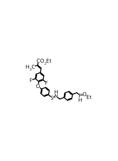 CCOPCc1ccc(CNSc2ccc(Oc3c(F)cc(/C=C(\C)C(=O)OCC)cc3F)cc2)cc1